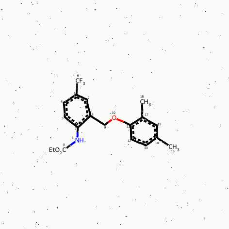 CCOC(=O)Nc1ccc(C(F)(F)F)cc1COc1ccc(C)cc1C